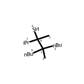 CCCCC(C)(CCCC)C(C)(S)C(C)C